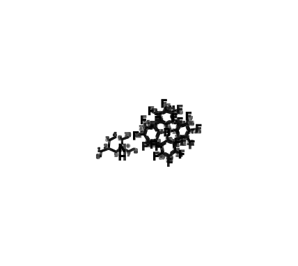 CCC(CC)C[NH+](CC)CC.Fc1c(F)c(F)c([B-](c2c(F)c(F)c(F)c(F)c2F)(c2c(F)c(F)c(F)c(F)c2F)c2c(F)c(F)c(F)c(F)c2F)c(F)c1F